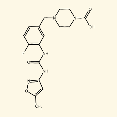 Cc1cc(NC(=O)Nc2cc(CN3CCN(C(=O)O)CC3)ccc2F)no1